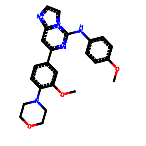 COc1ccc(Nc2nc(-c3ccc(N4CCOCC4)c(OC)c3)cc3nccn23)cc1